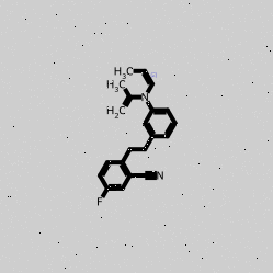 C=C(C)N(/C=C\C)c1cccc(CCc2ccc(F)cc2C#N)c1